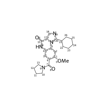 COc1cc2c(cc1C(=O)N1CCCC1)[nH]c(=O)c1cnc(C3CCCCC3)n12